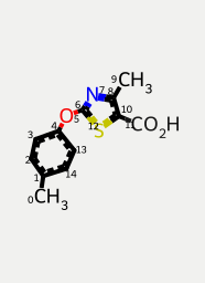 Cc1ccc(Oc2nc(C)c(C(=O)O)s2)cc1